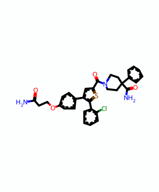 NC(=O)CCOc1ccc(-c2cc(C(=O)N3CCC(C(N)=O)(c4ccccc4)CC3)sc2-c2ccccc2Cl)cc1